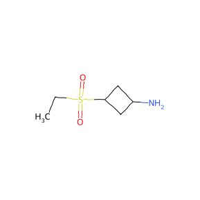 CCS(=O)(=O)C1CC(N)C1